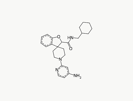 Nc1ccnc(N2CCC3(CC2)c2ccccc2OC3C(=O)NCC2CCCCC2)c1